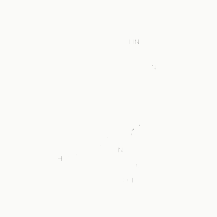 COc1cccc(C(C(=O)O)N2CC[C@@H](OCCCCc3ccc4c(n3)CCCN4)C2)c1C1CC1